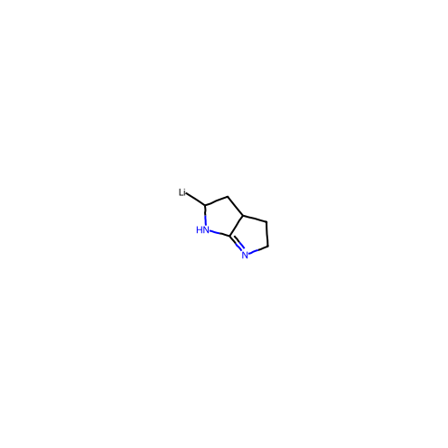 [Li][CH]1CC2CCN=C2N1